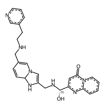 O=c1cc([C@H](O)NCC2=CN3C=C(CNCCc4cccnc4)C=CC3N2)nc2ccccn12